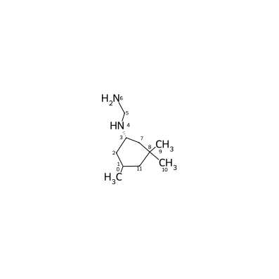 CC1C[C@H](NCN)CC(C)(C)C1